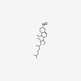 CCC1[C@H](C2CC[C@H]([C@H](C)CCCC(C)C)[C@@]2(C)CC)CC=C2C[C@@H](N=O)CC[C@@]21C